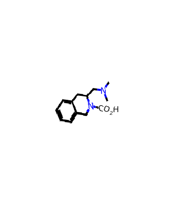 CN(C)CC1Cc2ccccc2CN1C(=O)O